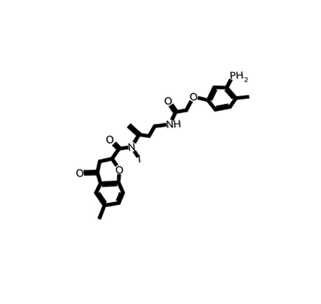 C=C(CCNC(=O)COc1ccc(C)c(P)c1)N(I)C(=O)C1CC(=O)c2cc(C)ccc2O1